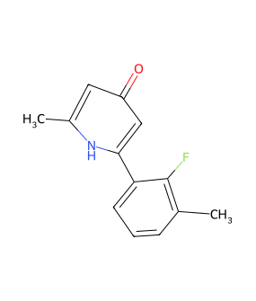 Cc1cc(=O)cc(-c2cccc(C)c2F)[nH]1